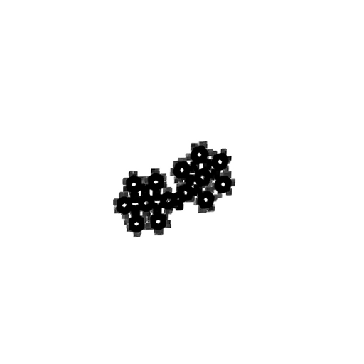 c1ccc(N2c3ccccc3B3c4ccccc4N4c5ccccc5B5c6cc7c(cc6N(c6ccccc6)c6cc2c3c4c65)sc2cc3c(cc27)B2c4ccccc4N4c5ccccc5B5c6ccccc6N(c6ccccc6)c6cc(c2c4c65)N3c2ccccc2)cc1